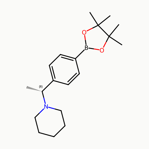 C[C@H](c1ccc(B2OC(C)(C)C(C)(C)O2)cc1)N1CCCCC1